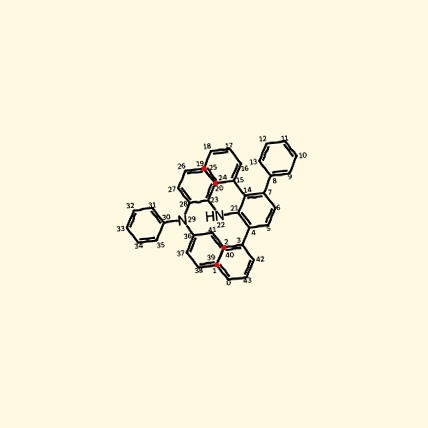 c1ccc(-c2ccc(-c3ccccc3)c(-c3ccccc3)c2Nc2ccccc2N(c2ccccc2)c2ccccc2)cc1